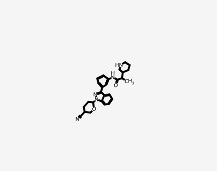 CC(C(=O)Nc1cccc(-c2nn(C3CCC(C#N)CO3)c3ccccc23)c1)C1CCCNC1